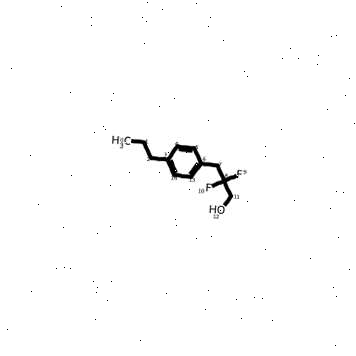 CCCc1ccc(CC(F)(F)CO)cc1